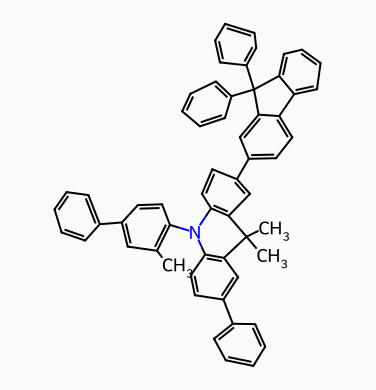 Cc1cc(-c2ccccc2)ccc1N1c2ccc(-c3ccccc3)cc2C(C)(C)c2cc(-c3ccc4c(c3)C(c3ccccc3)(c3ccccc3)c3ccccc3-4)ccc21